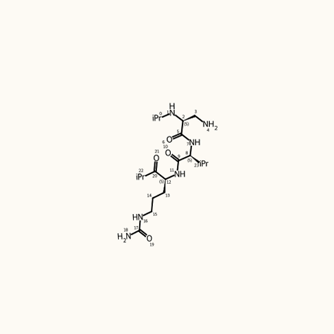 CC(C)N[C@@H](CN)C(=O)N[C@H](C(=O)N[C@@H](CCCNC(N)=O)C(=O)C(C)C)C(C)C